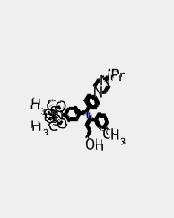 CC(C)N1CCN(c2ccc(/C(C3=CCC(N(S(C)(=O)=O)S(C)(=O)=O)C=C3)=C(/CCCO)C3=C[C@@H](C)CC=C3)cc2)CC1